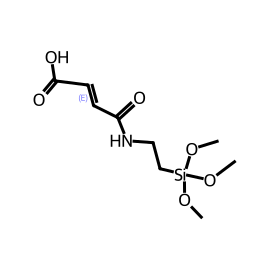 CO[Si](CCNC(=O)/C=C/C(=O)O)(OC)OC